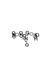 CC1(C)C(/C=C/c2ccccc2)=Nc2c(CC(=O)C3CCC(C[SH](=O)=O)CC3)ccc(OC(=O)[C@H]3CC[C@H](S(C)(=O)=O)CC3)c21